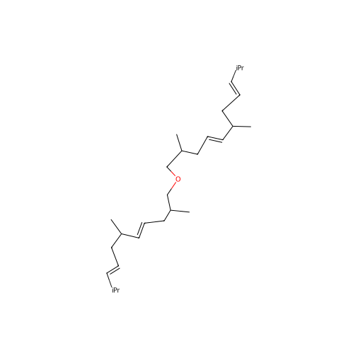 CC(C)C=CCC(C)C=CCC(C)COCC(C)CC=CC(C)CC=CC(C)C